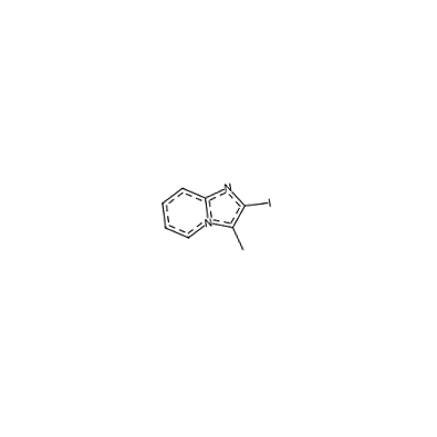 Cc1c(I)nc2ccccn12